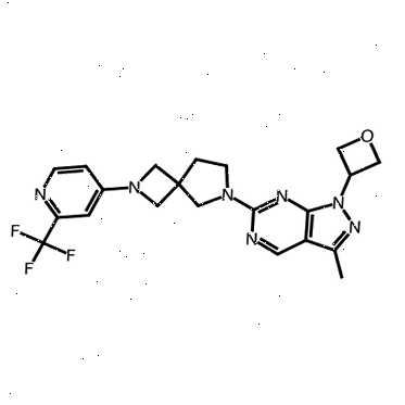 Cc1nn(C2COC2)c2nc(N3CCC4(CN(c5ccnc(C(F)(F)F)c5)C4)C3)ncc12